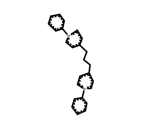 c1ccc(-[n+]2ccc(CCCc3cc[n+](-c4ccccc4)cc3)cc2)cc1